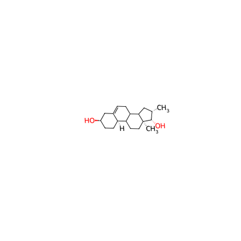 C[C@H]1CC2C3CC=C4C[C@H](O)CC[C@@H]4C3CC[C@]2(C)[C@H]1O